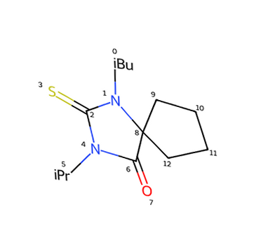 CCC(C)N1C(=S)N(C(C)C)C(=O)C12CCCC2